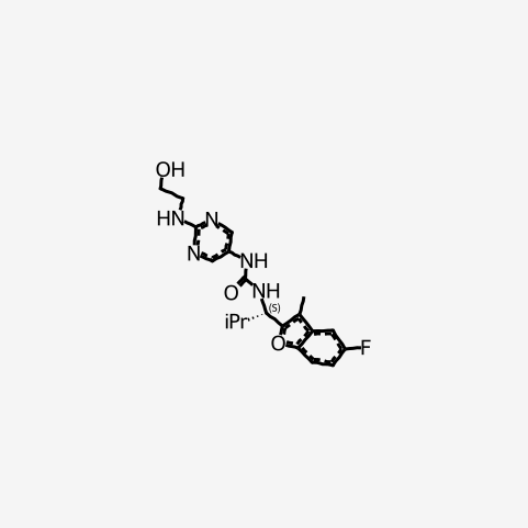 Cc1c([C@@H](NC(=O)Nc2cnc(NCCO)nc2)C(C)C)oc2ccc(F)cc12